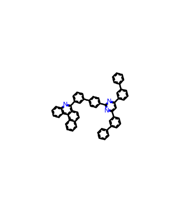 c1ccc(-c2cccc(-c3cc(-c4cccc(-c5ccccc5)c4)nc(-c4ccc(-c5cccc(-c6nc7ccccc7c7c6ccc6ccccc67)c5)cc4)n3)c2)cc1